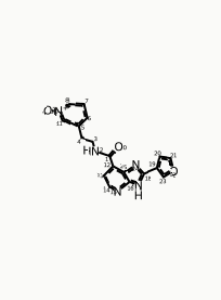 O=C(NCCc1ccc[n+]([O-])c1)c1ccnc2[nH]c(-c3ccoc3)nc12